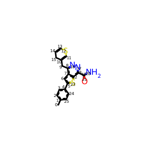 Cc1ccc(-c2cc3c(CC4=CSC=CC4)nnc(C(N)=O)c3s2)cc1